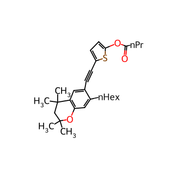 CCCCCCc1cc2c(cc1C#Cc1ccc(OC(=O)CCC)s1)C(C)(C)CC(C)(C)O2